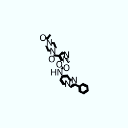 CC(=O)N1CCN(C(=O)c2cnn(C)c2OC(=O)Nc2ccn3cc(-c4ccccc4)nc3c2)CC1